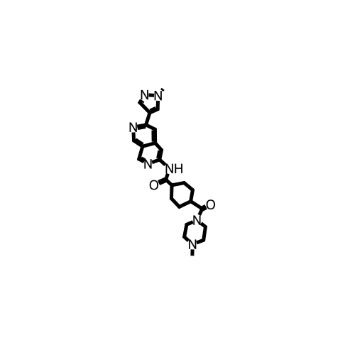 CN1CCN(C(=O)C2CCC(C(=O)Nc3cc4cc(-c5cnn(C)c5)ncc4cn3)CC2)CC1